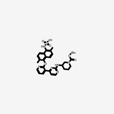 CCCS(=O)(=O)Nc1c(C)ccc2c(Oc3ncccc3-c3ccnc(NC4CCCN(C(=O)OC(C)(C)C)C4)n3)c(C)ccc12